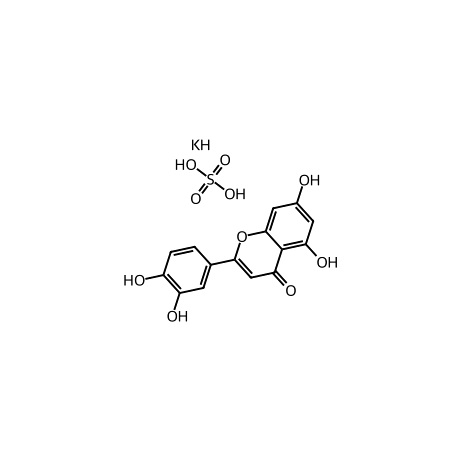 O=S(=O)(O)O.O=c1cc(-c2ccc(O)c(O)c2)oc2cc(O)cc(O)c12.[KH]